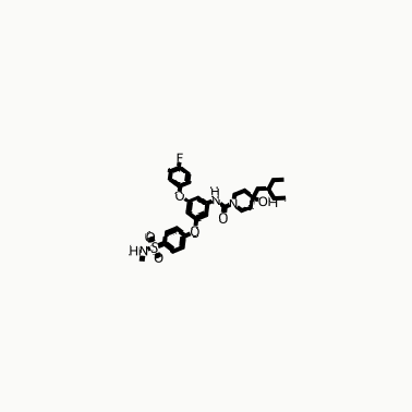 CCC(CC)CC1(O)CCN(C(=O)Nc2cc(Oc3ccc(F)cc3)cc(Oc3ccc(S(=O)(=O)NC)cc3)c2)CC1